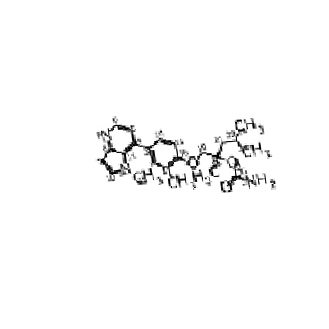 Cc1cc(-c2ccnc3ccn(C)c23)ccc1OC[C@](C)(CC(C)C)OC(N)=O